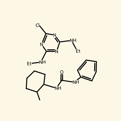 CC1CCCCC1NC(=O)Nc1ccccc1.CCNc1nc(Cl)nc(NCC)n1